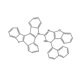 c1ccc2c(C3NC(n4c5ccccc5c5c6c7ccccc7sc6c6ccccc6c54)=Nc4oc5ccccc5c43)cccc2c1